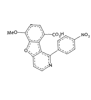 COc1ccc(C(=O)O)c2c1oc1ccnc(-c3ccc([N+](=O)[O-])cc3)c12